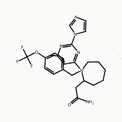 Cc1cc([N+]2(Cc3ccc(OC(F)(F)F)cc3)CCCCCC2CC(N)=O)nc(-n2ccnc2)n1